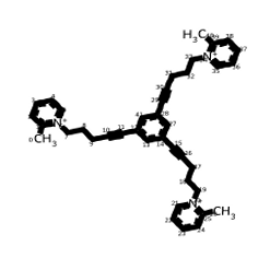 Cc1cccc[n+]1CCCC#Cc1cc(C#CCCC[n+]2ccccc2C)cc(C#CCCC[n+]2ccccc2C)c1